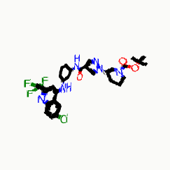 CC(C)(C)OC(=O)N1CCC[C@H](n2cc(C(=O)N[C@@H]3CCC[C@H](Nc4cc(C(F)(F)F)nc5ccc(Cl)cc45)C3)cn2)C1